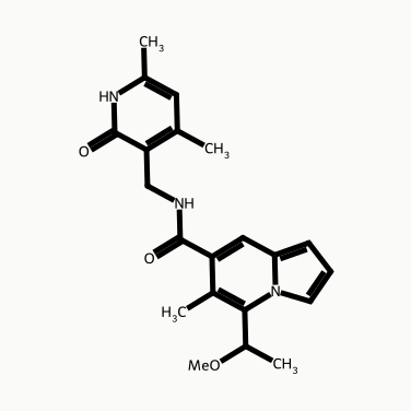 COC(C)c1c(C)c(C(=O)NCc2c(C)cc(C)[nH]c2=O)cc2cccn12